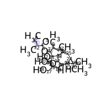 C/C=C(/C)C(=O)O[C@H]1C(C)=C[C@]23C(=O)[C@@H](C=C(CO)[C@@H](O)C12O)[C@H]1C(C[C@H]3C)C1(C)C